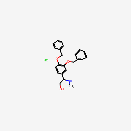 CN[C@@H](CO)c1ccc(OCc2ccccc2)c(OCc2ccccc2)c1.Cl